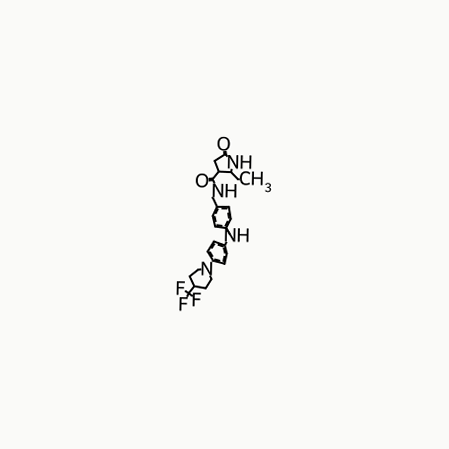 CCC1NC(=O)CC1C(=O)NCc1ccc(Nc2ccc(N3CCC(C(F)(F)F)CC3)cc2)cc1